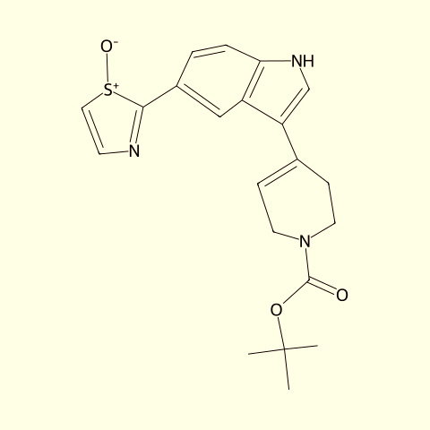 CC(C)(C)OC(=O)N1CC=C(c2c[nH]c3ccc(-c4ncc[s+]4[O-])cc23)CC1